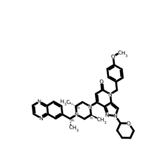 COc1ccc(Cn2c(=O)cc(N3C[C@@H](C)N([C@H](C)c4ccc5nccnc5c4)C[C@@H]3C)c3nn(C4CCCCO4)cc32)cc1